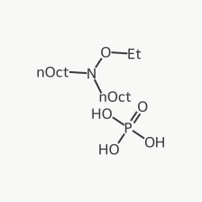 CCCCCCCCN(CCCCCCCC)OCC.O=P(O)(O)O